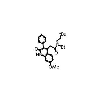 CCN(CCC(C)(C)C)C(=O)Cc1c(-c2ccccc2)c(=O)[nH]c2cc(OC)ccc12